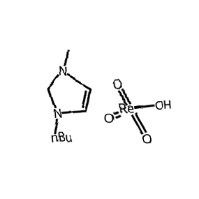 CCCCN1C=CN(C)C1.[O]=[Re](=[O])(=[O])[OH]